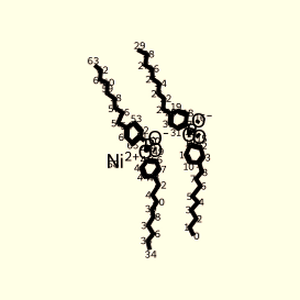 CCCCCCCCCc1ccc(OP(=O)([O-])c2ccc(CCCCCCCCC)cc2)cc1.CCCCCCCCCc1ccc(OP(=O)([O-])c2ccc(CCCCCCCCC)cc2)cc1.[Ni+2]